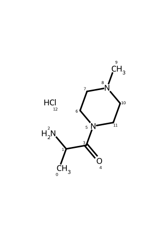 CC(N)C(=O)N1CCN(C)CC1.Cl